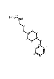 O=C(O)NCCCN1CCC(Cc2ccccn2)CC1